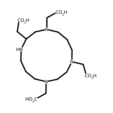 O=C(O)CC1CN(CC(=O)O)CCCN(CC(=O)O)CCN(CC(=O)O)CCCN1